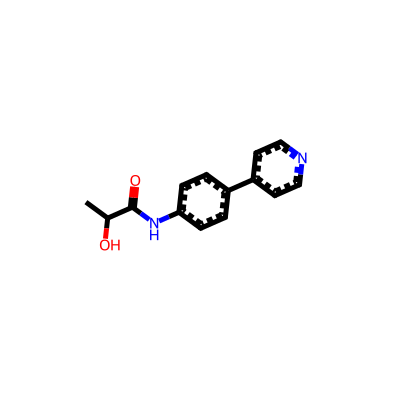 CC(O)C(=O)Nc1ccc(-c2ccncc2)cc1